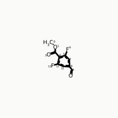 COC(=O)c1c(F)cc(C=O)cc1F